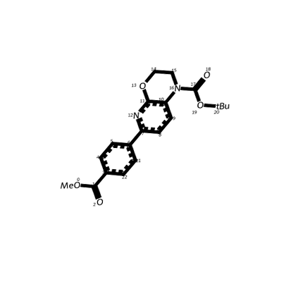 COC(=O)c1ccc(-c2ccc3c(n2)OCCN3C(=O)OC(C)(C)C)cc1